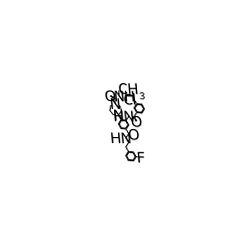 CCNC(=O)N1CCCN(c2ccc(C(=O)NCCc3cccc(F)c3)cc2NC(=O)c2cccc(Cl)c2)CC1